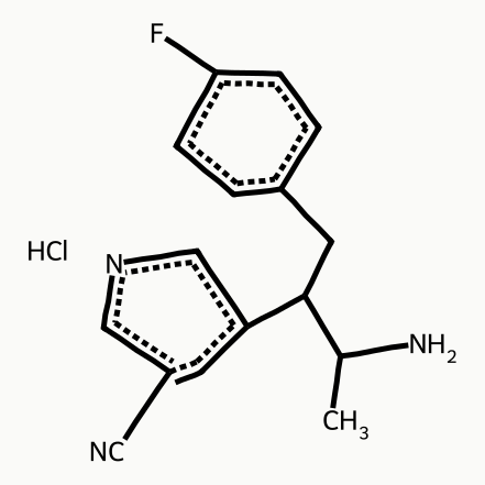 CC(N)C(Cc1ccc(F)cc1)c1cncc(C#N)c1.Cl